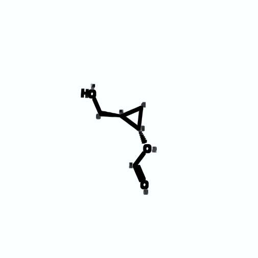 O=CO[C@H]1C[C@@H]1CO